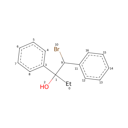 [CH2]CC(O)(c1ccccc1)C(Br)c1ccccc1